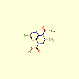 CNC(=O)N1c2ncc(Br)cc2N(C(=O)OC(C)C)CC1C